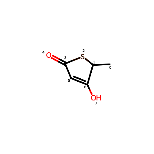 CC1SC(=O)C=C1O